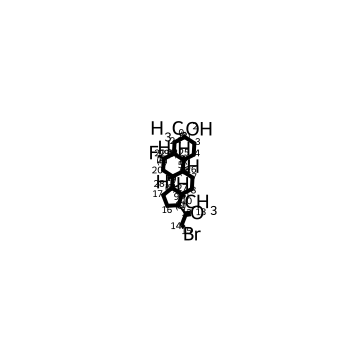 C[C@@]1(O)CC[C@@H]2[C@H]3CC[C@]4(C)[C@@H](C(=O)CBr)CC[C@H]4[C@@H]3C[C@@H](F)[C@H]2C1